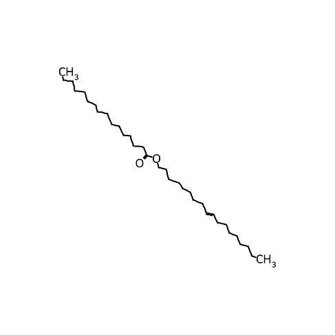 CCCCCCCCC=CCCCCCCCCOC(=O)CCCCCCCCCCCCCCC